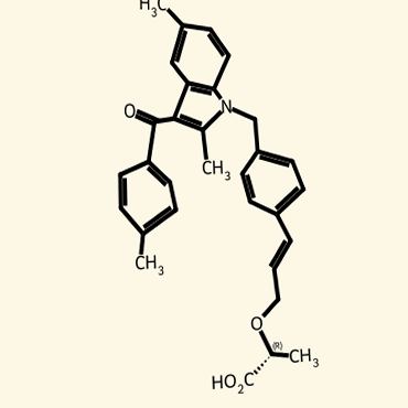 Cc1ccc(C(=O)c2c(C)n(Cc3ccc(C=CCO[C@H](C)C(=O)O)cc3)c3ccc(C)cc23)cc1